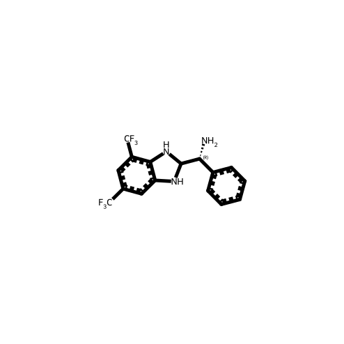 N[C@H](c1ccccc1)C1Nc2cc(C(F)(F)F)cc(C(F)(F)F)c2N1